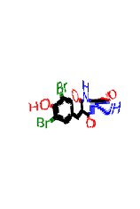 O=C1NC(=O)C(=Cc2cc(Br)c(O)c(Br)c2)C(=O)N1